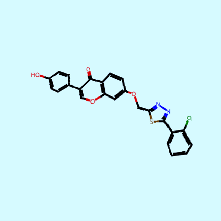 O=c1c(-c2ccc(O)cc2)coc2cc(OCc3nnc(-c4ccccc4Cl)s3)ccc12